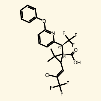 CC1(C)C(C=C(Cl)C(F)(F)F)[C@@]1(C(=O)O)[C@@H](c1cccc(Oc2ccccc2)n1)C(F)(F)F